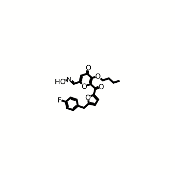 CCCCOc1c(C(=O)c2ccc(Cc3ccc(F)cc3)o2)oc(/C=N/O)cc1=O